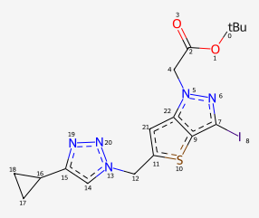 CC(C)(C)OC(=O)Cn1nc(I)c2sc(Cn3cc(C4CC4)nn3)cc21